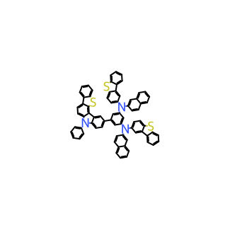 c1ccc(-n2c3ccc(-c4cc(N(c5ccc6ccccc6c5)c5ccc6sc7ccccc7c6c5)cc(N(c5ccc6ccccc6c5)c5ccc6sc7ccccc7c6c5)c4)cc3c3c4sc5ccccc5c4ccc32)cc1